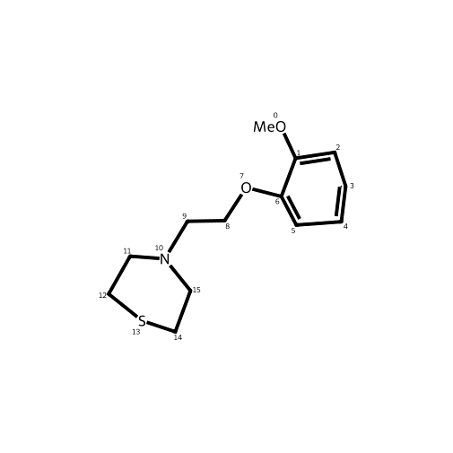 COc1c[c]ccc1OCCN1CCSCC1